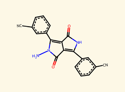 N#Cc1cccc(C2=C3C(=O)N(N)C(c4cccc(C#N)c4)=C3C(=O)N2)c1